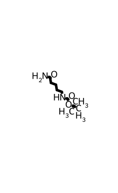 CC(C)(C)OC(=O)NCCCCC(N)=O